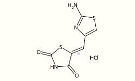 Cl.Nc1nc(/C=C2\SC(=O)NC2=O)cs1